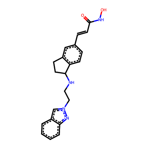 O=C(/C=C/c1ccc2c(c1)CCC2NCCn1cc2ccccc2n1)NO